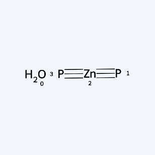 O.[P]#[Zn]#[P]